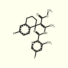 COC(=O)C1=C(C)NC(c2ncc(F)cc2C)=NC12CCCc1cc(F)ccc12